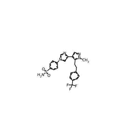 Cn1ncc(-c2cn(-c3ccc(S(N)(=O)=O)cc3)cn2)c1CCc1ccc(C(F)(F)F)cc1